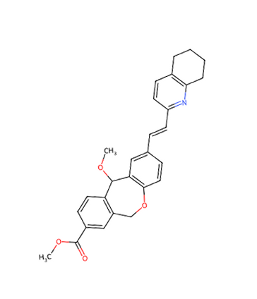 COC(=O)c1ccc2c(c1)COc1ccc(C=Cc3ccc4c(n3)CCCC4)cc1C2OC